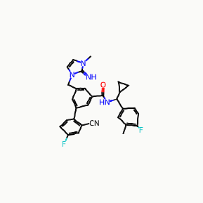 Cc1cc([C@@H](NC(=O)c2cc(Cn3ccn(C)c3=N)cc(-c3ccc(F)cc3C#N)c2)C2CC2)ccc1F